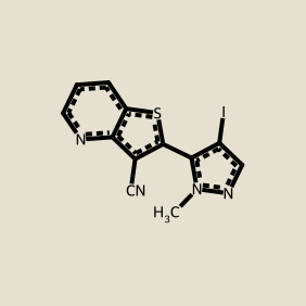 Cn1ncc(I)c1-c1sc2cccnc2c1C#N